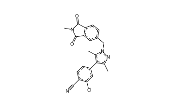 Cc1nn(Cc2ccc3c(c2)C(=O)N(C)C3=O)c(C)c1-c1ccc(C#N)c(Cl)c1